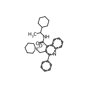 CC(NC(=O)c1c(C[N+]2([O-])CCCCC2)c(-c2ccccc2)nc2ccccc12)C1CCCCC1